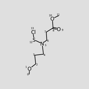 COCCCN(CCC(=O)OC)SCl